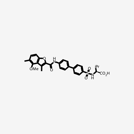 COc1c(C)ccc2oc(C(=O)Nc3ccc(-c4ccc(S(=O)(=O)N[C@H](C(=O)O)C(C)C)cc4)cc3)c(C)c12